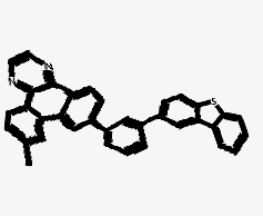 Cc1ccc2c(c1)c1cc(-c3cccc(-c4ccc5sc6ccccc6c5c4)c3)ccc1c1nccnc21